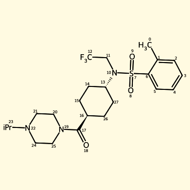 Cc1ccccc1S(=O)(=O)N(CC(F)(F)F)[C@H]1CC[C@H](C(=O)N2CCN(C(C)C)CC2)CC1